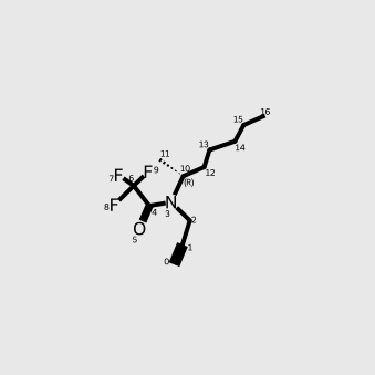 C#CCN(C(=O)C(F)(F)F)[C@H](C)CCCCC